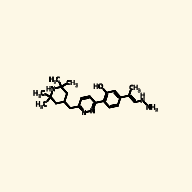 C/C(=C\NN)c1ccc(-c2ccc(CC3CC(C)(C)NC(C)(C)C3)nn2)c(O)c1